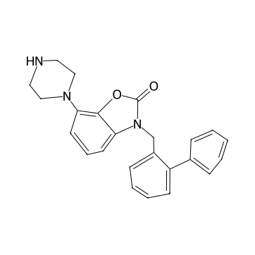 O=c1oc2c(N3CCNCC3)cccc2n1Cc1ccccc1-c1ccccc1